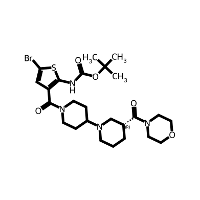 CC(C)(C)OC(=O)Nc1sc(Br)cc1C(=O)N1CCC(N2CCC[C@@H](C(=O)N3CCOCC3)C2)CC1